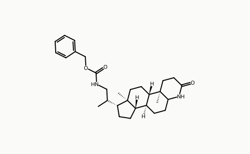 CC(CNC(=O)OCc1ccccc1)[C@H]1CC[C@H]2[C@@H]3CCC4NC(=O)CC[C@]4(C)[C@H]3CC[C@]12C